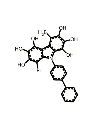 Bc1c(O)c(O)c(O)c2c1c1c(O)c(O)c(O)c(Br)c1n2-c1ccc(-c2ccccc2)cc1